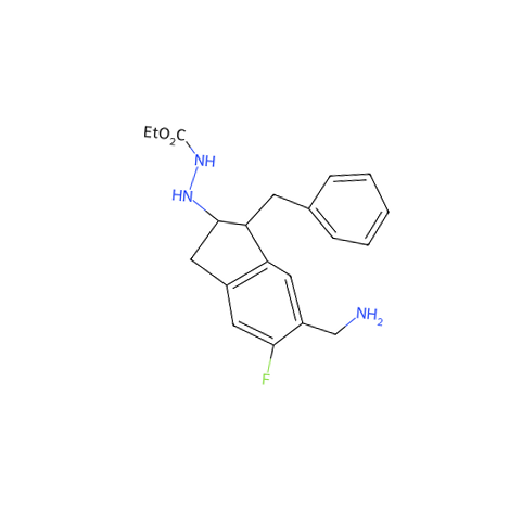 CCOC(=O)NNC1Cc2cc(F)c(CN)cc2C1Cc1ccccc1